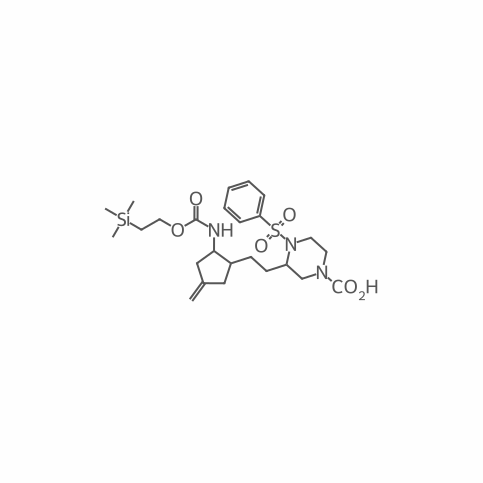 C=C1CC(CCC2CN(C(=O)O)CCN2S(=O)(=O)c2ccccc2)C(NC(=O)OCC[Si](C)(C)C)C1